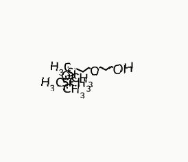 C[Si](C)(C)O[Si](C)(C)CCCOCCCO